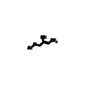 CC=C(O)COC(C)=O